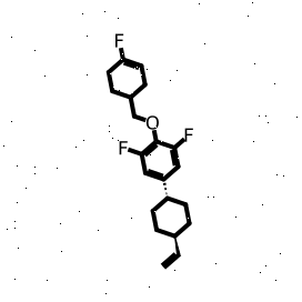 C=C[C@H]1CC[C@H](c2cc(F)c(OCC3CC=C(F)CC3)c(F)c2)CC1